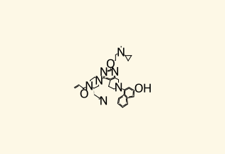 C=CC(=O)N1CCN(c2nc(OCCN(C)C3CC3)nc3c2CCN(c2cc(O)cc4ccccc24)C3)C[C@@H]1CC#N